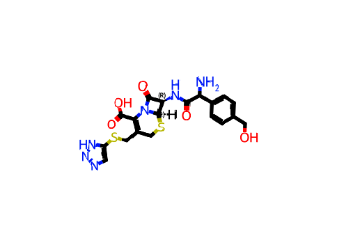 NC(C(=O)N[C@@H]1C(=O)N2C(C(=O)O)=C(CSc3cnn[nH]3)CS[C@H]12)c1ccc(CO)cc1